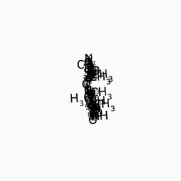 C[C@@H]1CN(CCO[C@H]2CC[C@H](N3C(=S)N(c4ccc(C#N)c(Cl)c4)C(=O)C3(C)C)CC2)C[C@H](C)N1CC(=O)Nc1cccc2c(N3CCC(=O)NC3=O)nn(C)c12